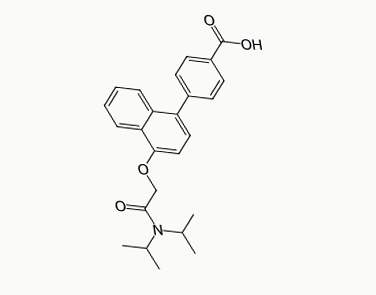 CC(C)N(C(=O)COc1ccc(-c2ccc(C(=O)O)cc2)c2ccccc12)C(C)C